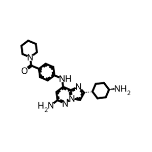 Nc1cc(Nc2ccc(C(=O)N3CCCCC3)cc2)c2nc([C@H]3CC[C@H](N)CC3)cn2n1